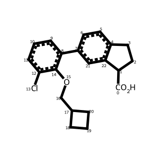 O=C(O)C1CCc2ccc(-c3cccc(Cl)c3OCC3CCC3)cc21